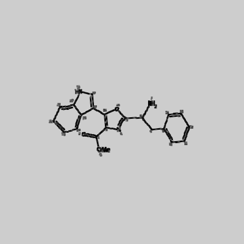 COC(=O)c1nc(C(N)Cc2ccccc2)oc1-c1c[nH]c2ccccc12